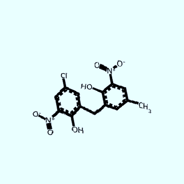 Cc1cc(Cc2cc(Cl)cc([N+](=O)[O-])c2O)c(O)c([N+](=O)[O-])c1